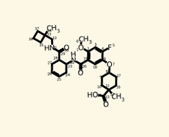 COc1cc(F)c(OC2CCC(C)(C(=O)O)CC2)cc1C(=O)NC1CC=CCC1C(=O)NCC1(C)CCC1